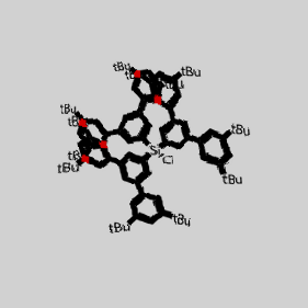 CC(C)(C)c1cc(-c2cc(-c3cc(C(C)(C)C)cc(C(C)(C)C)c3)cc([Si](Cl)(c3cc(-c4cc(C(C)(C)C)cc(C(C)(C)C)c4)cc(-c4cc(C(C)(C)C)cc(C(C)(C)C)c4)c3)c3cc(-c4cc(C(C)(C)C)cc(C(C)(C)C)c4)cc(-c4cc(C(C)(C)C)cc(C(C)(C)C)c4)c3)c2)cc(C(C)(C)C)c1